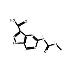 COC(=O)Nc1ncc2[nH]nc(C(=O)O)c2n1